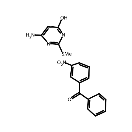 CSc1nc(N)cc(O)n1.O=C(c1ccccc1)c1cccc([N+](=O)[O-])c1